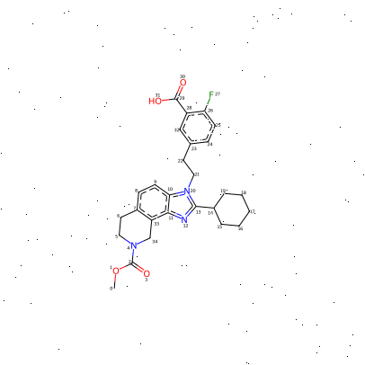 COC(=O)N1CCc2ccc3c(nc(C4CCCCC4)n3CCc3ccc(F)c(C(=O)O)c3)c2C1